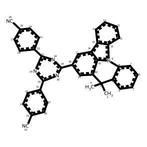 CC1(C)c2ccccc2-n2c3ccccc3c3cc(-c4nc(-c5ccc(C#N)cc5)nc(-c5ccc(C#N)cc5)n4)cc1c32